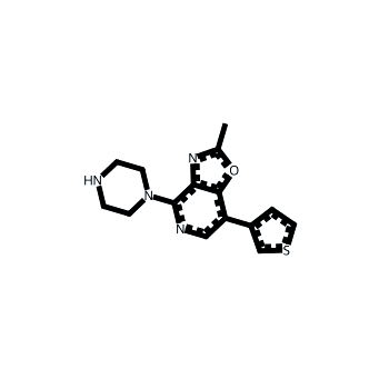 Cc1nc2c(N3CCNCC3)ncc(-c3ccsc3)c2o1